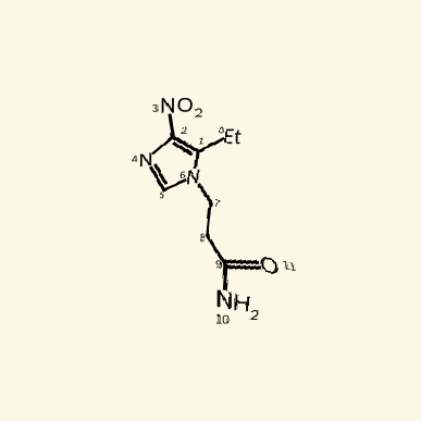 CCc1c([N+](=O)[O-])ncn1CCC(N)=O